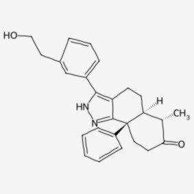 C[C@@H]1C(=O)CC[C@]2(c3ccccc3)c3n[nH]c(-c4cccc(CCO)c4)c3CC[C@@H]12